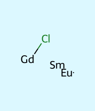 [Cl][Gd].[Eu].[Sm]